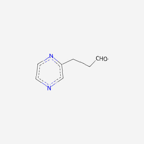 O=[C]CCc1cnccn1